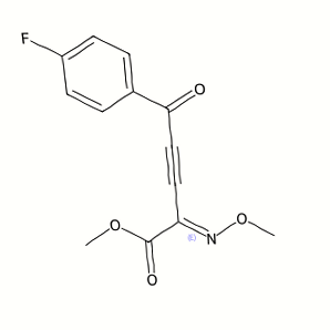 CO/N=C(\C#CC(=O)c1ccc(F)cc1)C(=O)OC